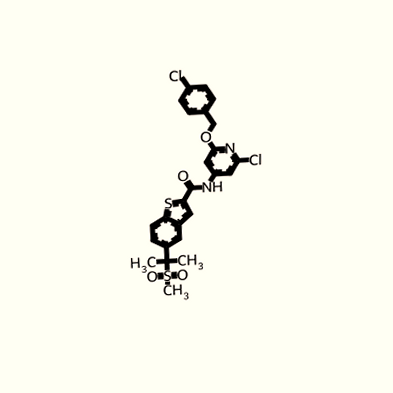 CC(C)(c1ccc2sc(C(=O)Nc3cc(Cl)nc(OCc4ccc(Cl)cc4)c3)cc2c1)S(C)(=O)=O